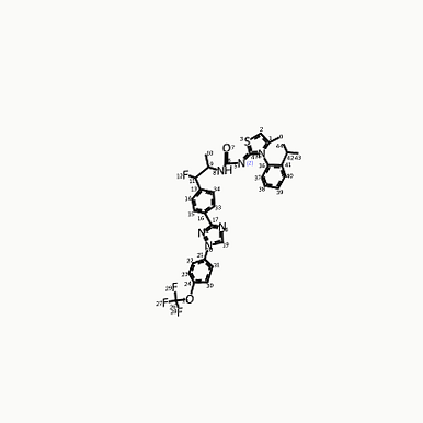 Cc1cs/c(=N\C(=O)NC(C)C(F)c2ccc(-c3ncn(-c4ccc(OC(F)(F)F)cc4)n3)cc2)n1-c1ccccc1C(C)C